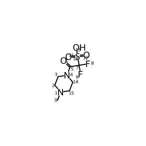 CN1CCN(C(=O)C(F)(F)S(=O)(=O)O)CC1